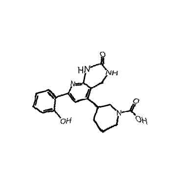 O=C1NCc2c(C3CCCN(C(=O)O)C3)cc(-c3ccccc3O)nc2N1